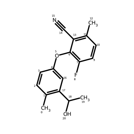 Cc1ccc(Oc2c(F)ccc(C)c2C#N)cc1C(C)O